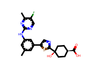 Cc1cc(Nc2ncc(F)c(C)n2)cc(-c2cnc([C@]3(O)CC[C@@H](C(=O)O)CC3)s2)c1